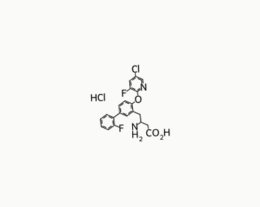 Cl.NC(CC(=O)O)Cc1cc(-c2ccccc2F)ccc1Oc1ncc(Cl)cc1F